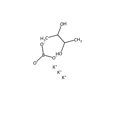 CC(O)C(C)O.[K+].[K+].[K+].[O-]B([O-])[O-]